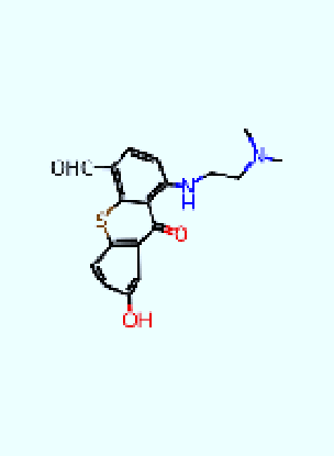 CN(C)CCNc1ccc(C=O)c2sc3ccc(O)cc3c(=O)c12